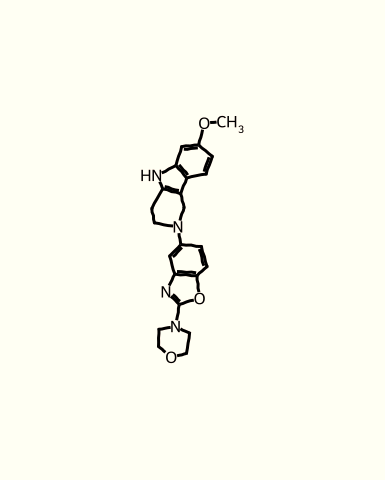 COc1ccc2c3c([nH]c2c1)CCN(c1ccc2oc(N4CCOCC4)nc2c1)C3